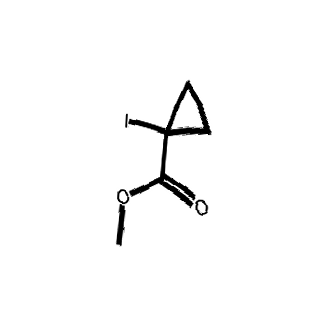 COC(=O)C1(I)CC1